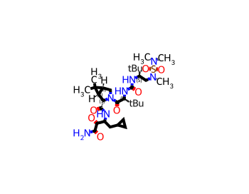 CN(C)S(=O)(=O)N(C)C[C@@H](NC(=O)N[C@H](C(=O)N1C[C@H]2[C@@H]([C@H]1C(=O)NC(CC1CC1)C(=O)C(N)=O)C2(C)C)C(C)(C)C)C(C)(C)C